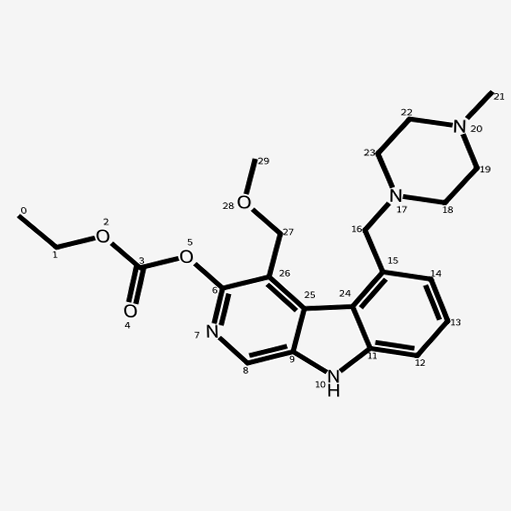 CCOC(=O)Oc1ncc2[nH]c3cccc(CN4CCN(C)CC4)c3c2c1COC